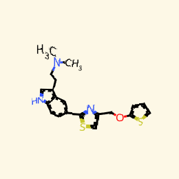 CN(C)CCc1c[nH]c2ccc(-c3nc(COc4cccs4)cs3)cc12